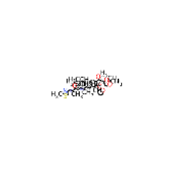 CCC(C(=O)C(C)(C)[C@@H]1CCOC(C)(C)O1)[C@@H](OC1CCCCO1)[C@@H](C)CCC/C(C)=C/C[C@H](O[Si](C)(C)C(C)(C)C)/C(C)=C/c1csc(C)n1